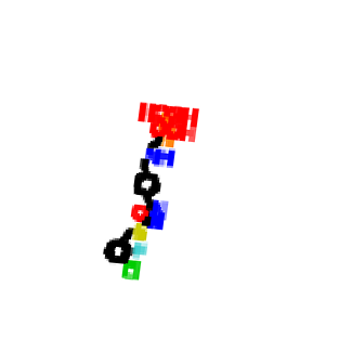 O[PH](O)(O)OCCNCc1ccc(-c2nnc(SCc3cccc(Cl)c3F)o2)cc1